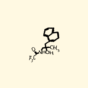 CC(O)(CNC(=O)C(F)(F)F)Cc1cccc2ccccc12